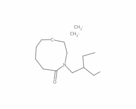 CCC(CC)CN1CC[CH]CCCCC1=O.[CH2].[CH2]